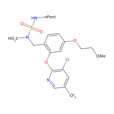 CCCCCNS(=O)(=O)N(Cc1ccc(OCCOC)cc1Oc1ncc(C(F)(F)F)cc1Cl)C(=O)O